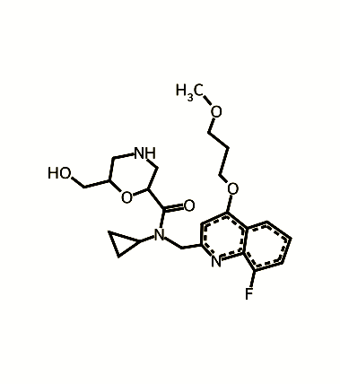 COCCCOc1cc(CN(C(=O)C2CNCC(CO)O2)C2CC2)nc2c(F)cccc12